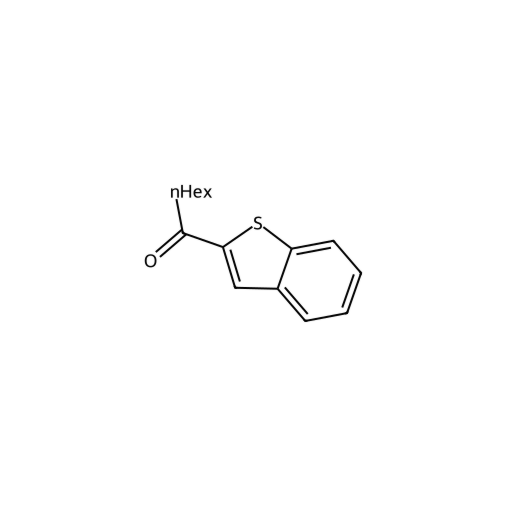 CCCCCCC(=O)c1cc2ccccc2s1